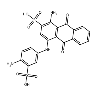 Nc1ccc(Nc2cc(S(=O)(=O)O)c(N)c3c2C(=O)c2ccccc2C3=O)cc1S(=O)(=O)O